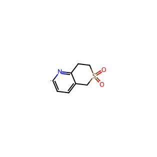 O=S1(=O)CCc2n[c]ccc2C1